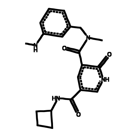 CNc1cccc(CN(C)C(=O)c2cc(C(=O)NC3CCC3)c[nH]c2=O)c1